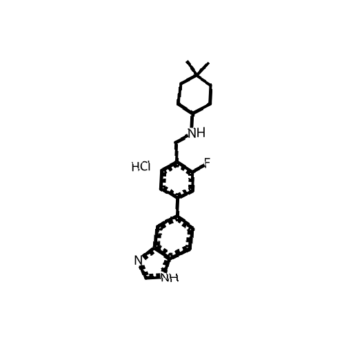 CC1(C)CCC(NCc2ccc(-c3ccc4[nH]cnc4c3)cc2F)CC1.Cl